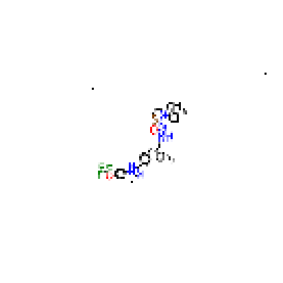 Cc1ccccc1N1CCCS/C1=N\C(=O)NCCC(C)Cc1ccc(-c2ncn(-c3ccc(OC(F)(F)F)cc3)n2)cc1